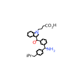 CC(C)Cc1ccc(C(N)c2cccc(C(=O)c3cn(CCCC(=O)O)c4ccccc34)c2)cc1